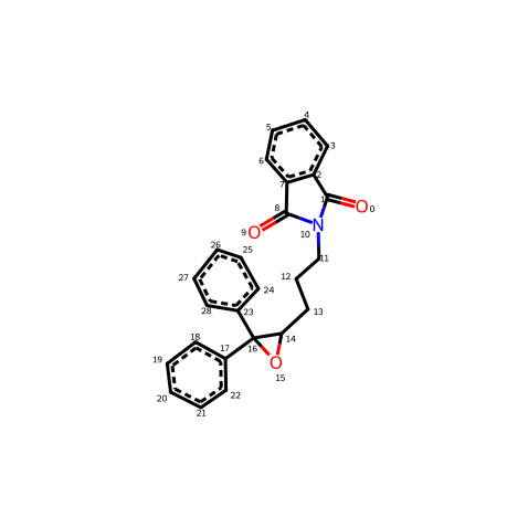 O=C1c2ccccc2C(=O)N1CCCC1OC1(c1ccccc1)c1ccccc1